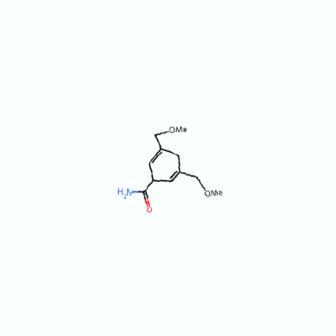 COCC1=CC(C(N)=O)C=C(COC)C1